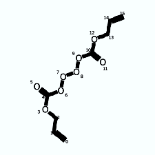 C=CCOC(=O)OOOOC(=O)OCC=C